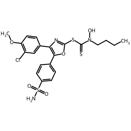 CCCCN(O)C(=S)Sc1nc(-c2ccc(OC)c(Cl)c2)c(-c2ccc(S(N)(=O)=O)cc2)o1